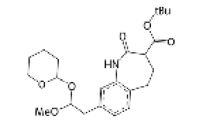 COC(Cc1ccc2c(c1)NC(=O)C(C(=O)OC(C)(C)C)CC2)OC1CCCCO1